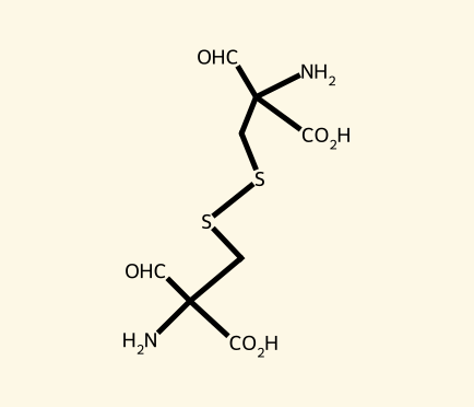 NC(C=O)(CSSCC(N)(C=O)C(=O)O)C(=O)O